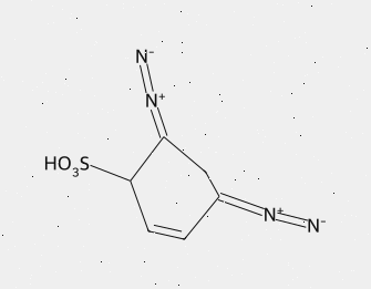 [N-]=[N+]=C1C=CC(S(=O)(=O)O)C(=[N+]=[N-])C1